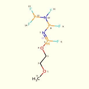 COCCO/[PH](F)=N/P(F)N(F)P(F)F